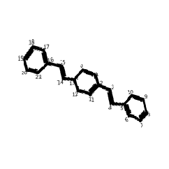 C1=CC(/C=C/c2ccccc2)=CC[C]1/C=C/c1ccccc1